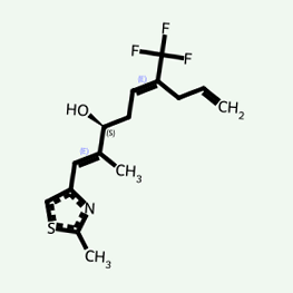 C=CC/C(=C\C[C@H](O)/C(C)=C/c1csc(C)n1)C(F)(F)F